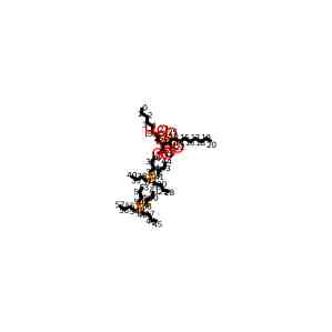 CCCCCCCCC(C(=O)[O-])C(CCCCCCCC)(C(=O)[O-])S(=O)(=O)O.CCCC[P+](CCCC)(CCCC)CCCC.CCCC[P+](CCCC)(CCCC)CCCC